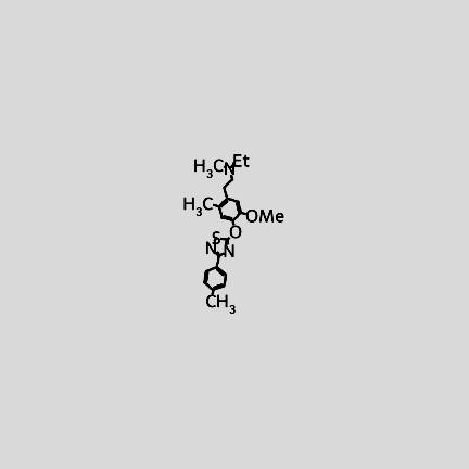 CCN(C)CCc1cc(OC)c(Oc2nc(-c3ccc(C)cc3)ns2)cc1C